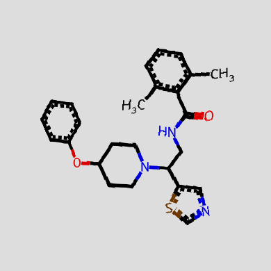 Cc1cccc(C)c1C(=O)NCC(c1cncs1)N1CCC(Oc2ccccc2)CC1